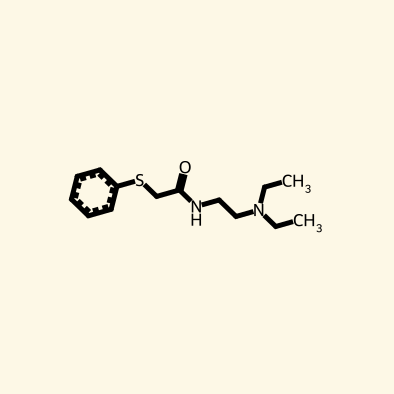 CCN(CC)CCNC(=O)CSc1ccccc1